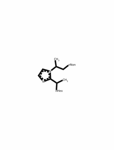 CCCCCCCCCCC(C)n1ccnc1C(C)CCCCCC